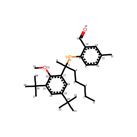 CCCCCC(C)(Pc1ccc(C)cc1C=O)c1cc(C(C)(C)C)cc(C(C)(C)C)c1OC